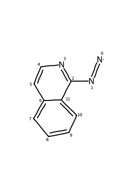 [N]=Nc1nccc2ccccc12